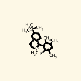 Cc1cc(C)c(F)c(-c2c3ccc([Si](C)(C)C)cc3cc[n+]2C)c1C